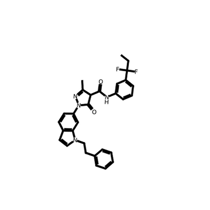 CCC(F)(F)c1cccc(NC(=O)C2C(=O)N(c3ccc4ccn(CCc5ccccc5)c4c3)N=C2C)c1